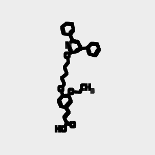 CCOc1cc(C=CC(=O)O)ccc1OCCCCCOc1cc(-c2ccccc2)cc(-c2ccccc2)n1